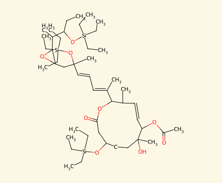 CCC(O[Si](CC)(CC)CC)C(C)C1OC1CC(C)(/C=C/C=C(\C)C1OC(=O)CC(O[Si](CC)(CC)CC)CCC(C)(O)C(OC(C)=O)/C=C/C1C)O[Si](CC)(CC)CC